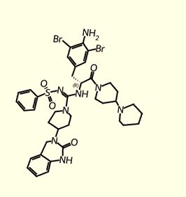 Nc1c(Br)cc(C[C@@H](NC(=NS(=O)(=O)c2ccccc2)N2CCC(N3Cc4ccccc4NC3=O)CC2)C(=O)N2CCC(N3CCCCC3)CC2)cc1Br